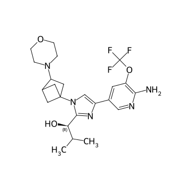 CC(C)[C@@H](O)c1nc(-c2cnc(N)c(OC(F)(F)F)c2)cn1C12CC(C1)C(N1CCOCC1)C2